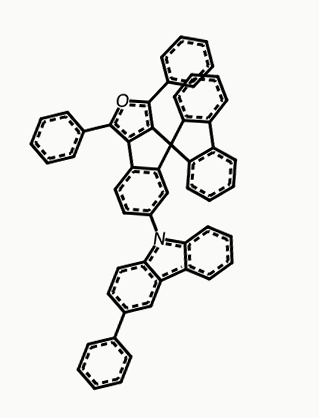 c1ccc(-c2ccc3c(c2)c2ccccc2n3-c2ccc3c(c2)C2(c4ccccc4-c4ccccc42)c2c(-c4ccccc4)oc(-c4ccccc4)c2-3)cc1